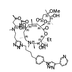 CC[C@H]1OC(=O)[C@H](C)[C@@H](O[C@H]2C[C@@](C)(OC)[C@@H](O)[C@H](C)O2)[C@H](C)[C@@H](O[C@@H]2O[C@H](C)C[C@H](N(C)CCc3cn(CCCCc4ccc(-n5cc(-c6cccnc6)nn5)cc4)nn3)[C@H]2O)[C@](C)(O)C[C@@H](C)CN(C)[C@H](C)[C@@H](O)[C@]1(C)O